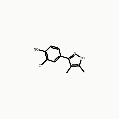 Cc1[nH]nc(-c2ccc(C#N)c(Cl)c2)c1C